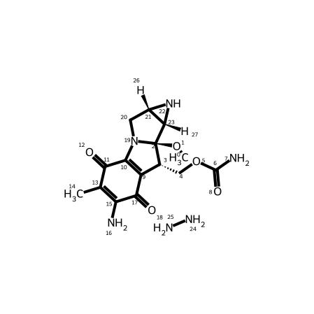 CO[C@@]12[C@H](COC(N)=O)C3=C(C(=O)C(C)=C(N)C3=O)N1C[C@@H]1N[C@@H]12.NN